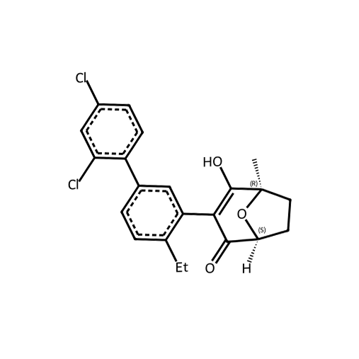 CCc1ccc(-c2ccc(Cl)cc2Cl)cc1C1=C(O)[C@@]2(C)CC[C@H](O2)C1=O